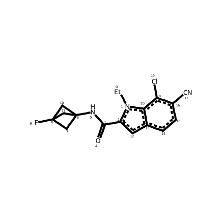 CCn1c(C(=O)NC23CC(F)(C2)C3)cc2ccc(C#N)c(Cl)c21